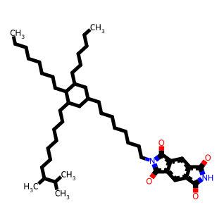 CCCCCCCCC1C(CCCCCC)CC(CCCCCCCCn2c(=O)c3cc4c(=O)[nH]c(=O)c4cc3c2=O)CC1CCCCCCCC(C)C(C)C